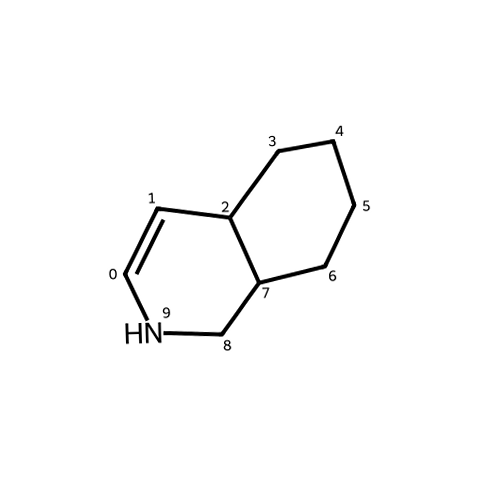 C1=CC2CCCCC2CN1